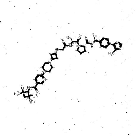 Cc1ncsc1-c1ccc([C@H](C)NC(=O)[C@@H]2CCCN2C(=O)[C@@H](NC(=O)CN[C@H]2C[C@@H](N3CCN(c4ccc(C(=O)NC5C(C)(C)CC5(C)C)cn4)CC3)C2)C(C)(C)C)cc1